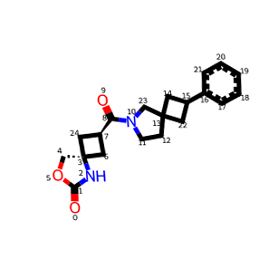 O=C1N[C@]2(CO1)C[C@H](C(=O)N1CCC3(CC(c4ccccc4)C3)C1)C2